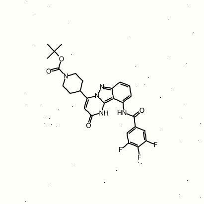 CC(C)(C)OC(=O)N1CCC(c2cc(=O)[nH]c3c4c(NC(=O)c5cc(F)c(F)c(F)c5)cccc4nn23)CC1